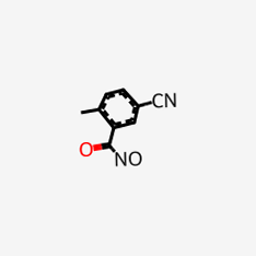 Cc1ccc(C#N)cc1C(=O)N=O